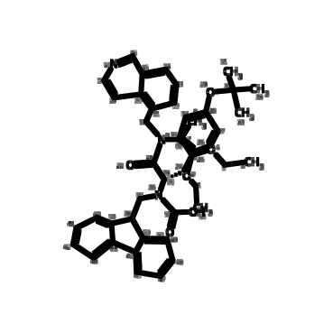 CCOC(OCC)[C@H](C)N(Cc1cccc2cnccc12)C(=O)[C@H](Cc1ccc(OC(C)(C)C)cc1)N(CC1c2ccccc2-c2ccccc21)C(=O)O